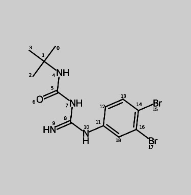 CC(C)(C)NC(=O)NC(=N)Nc1ccc(Br)c(Br)c1